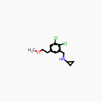 COCCc1cc(Cl)c(Cl)c(CNC2CC2)c1